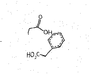 CCC(=O)O.O=C(O)Cc1ccccc1